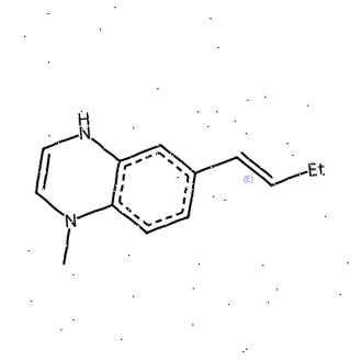 CC/C=C/c1ccc2c(c1)NC=CN2C